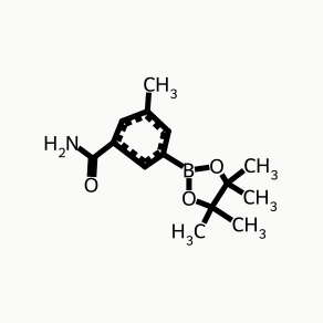 Cc1cc(B2OC(C)(C)C(C)(C)O2)cc(C(N)=O)c1